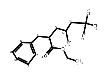 CCOC(=O)C(Cc1ccccc1)CC(Br)CC(Cl)(Cl)Cl